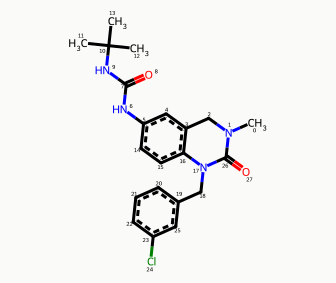 CN1Cc2cc(NC(=O)NC(C)(C)C)ccc2N(Cc2cccc(Cl)c2)C1=O